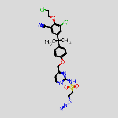 CC(C)(c1ccc(OCc2ccnc(NS(=O)(=O)CCN=[N+]=[N-])n2)cc1)c1cc(Cl)c(OCCCl)c(C#N)c1